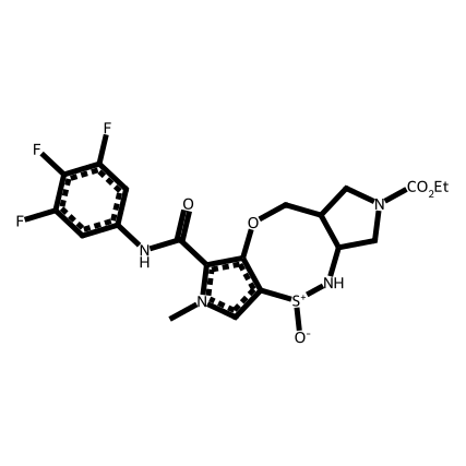 CCOC(=O)N1CC2COc3c(cn(C)c3C(=O)Nc3cc(F)c(F)c(F)c3)[S+]([O-])NC2C1